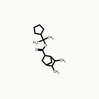 CC1C2CC(C(=O)OC(C)(C)C3CCCC3)C(C2)C1C